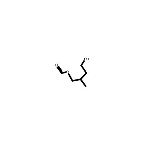 CC(CCO)CO[C]=O